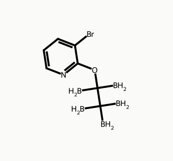 BC(B)(B)C(B)(B)Oc1ncccc1Br